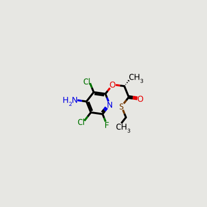 CCSC(=O)[C@@H](C)Oc1nc(F)c(Cl)c(N)c1Cl